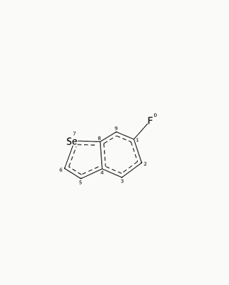 Fc1ccc2cc[se]c2c1